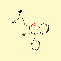 CCCCC(CC)CCC(=O)C(C#N)=C(c1ccccc1)c1ccccc1